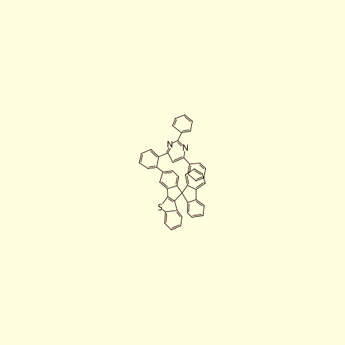 c1ccc(-c2cc(-c3ccccc3-c3ccc4c(c3)-c3sc5ccccc5c3C43c4ccccc4-c4ccccc43)nc(-c3ccccc3)n2)cc1